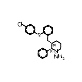 NN1CCC[C@H](Cc2ccccc2Sc2ccc(Cl)cc2)[C@@H]1c1ccccc1